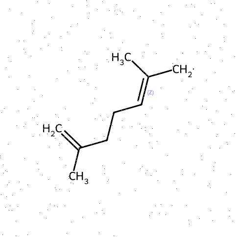 [CH2]/C(C)=C/CCC(=C)C